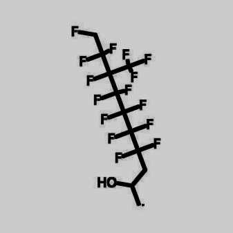 [CH2]C(O)CC(F)(F)C(F)(F)C(F)(F)C(F)(F)C(F)(C(F)(F)F)C(F)(F)CF